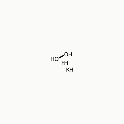 F.OO.[KH]